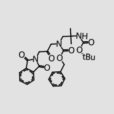 CC(C)(CN(CC(=O)CN1C(=O)c2ccccc2C1=O)C(=O)OCc1ccccc1)NC(=O)OC(C)(C)C